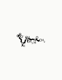 C=CC(=O)NCCC[N+](C)(C)CCN(CCCS(=O)(=O)[O-])C(C)=O